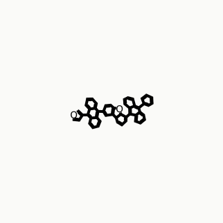 C1=CC2c3cc(-c4c5ccccc5c(-c5ccoc5)c5ccccc45)ccc3OC2C(c2c3ccccc3c(-c3ccccc3)c3ccccc23)=C1